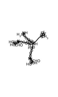 C=C(COCCOCCOCCNC(=O)CCC(CCC(=O)NCCOCCOCCOCc1cn(C[C@@H]2CO[C@H](CO)[C@H](O)[C@@H]2C=O)nn1)(CCC(=O)NCCOCCOCCOCc1cn(C[C@@H]2CO[C@H](CO)[C@H](O)[C@@H]2C=O)nn1)NC(=O)CCCCCCCCCCC(=O)Oc1c(C)c(F)c(F)c(F)c1F)N=N